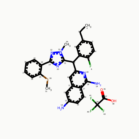 CCc1ccc(F)c(C(c2cc3cc(N)ccc3c(N)n2)c2nc(-c3ccccc3SC)nn2C)c1.O=C(O)C(F)(F)F